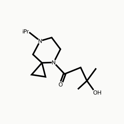 CC(C)N1CCN(C(=O)CC(C)(C)O)C2(CC2)C1